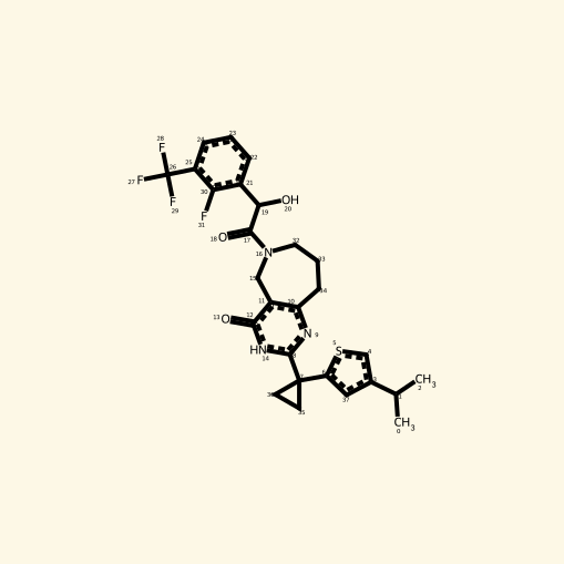 CC(C)c1csc(C2(c3nc4c(c(=O)[nH]3)CN(C(=O)C(O)c3cccc(C(F)(F)F)c3F)CCC4)CC2)c1